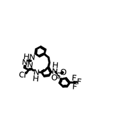 O=S(=O)(Nc1ccc2cc1CCc1cccc(c1)Nc1ncc(Cl)c(n1)N2)c1cccc(C(F)(F)F)c1